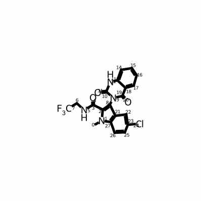 Cn1c(C(=O)NCC(F)(F)F)c(-n2c(=O)[nH]c3ccccc3c2=O)c2cc(Cl)ccc21